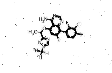 [2H]C([2H])([2H])n1cnc([C@H](C)Oc2cc(F)c(-c3ccc(F)c(Cl)c3F)c3ncnc(N)c23)n1